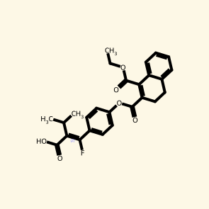 CCOC(=O)C1=C(C(=O)Oc2ccc(/C(F)=C(/C(=O)O)C(C)C)cc2)CCc2ccccc21